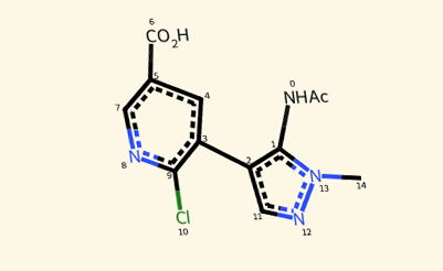 CC(=O)Nc1c(-c2cc(C(=O)O)cnc2Cl)cnn1C